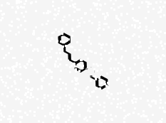 C(=C\c1ccc(OCc2ccccc2)cc1)/Cc1ccccc1